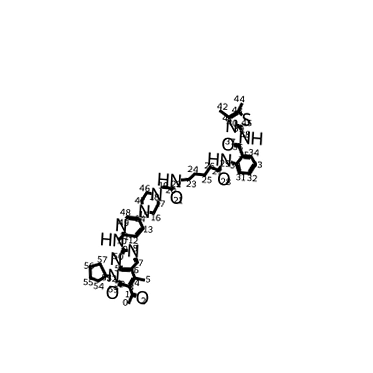 CC(=O)c1c(C)c2cnc(Nc3ccc(N4CCN(CC(=O)NCCCCC(=O)Nc5ccccc5C(=O)Nc5nc(C)c(C)s5)CC4)cn3)nc2n(C2CCCC2)c1=O